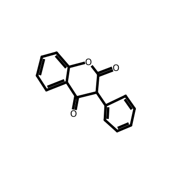 O=C1Oc2ccccc2C(=O)C1c1ccccc1